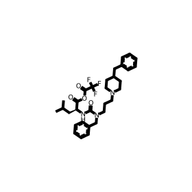 CC(C)C[C@H](NC(=O)N(CCCN1CCC(Cc2ccccc2)CC1)Cc1ccccc1)C(=O)OC(=O)C(F)(F)F